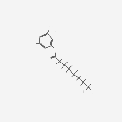 O=C(O)c1cc(OC(=O)C(F)(F)C(F)(F)C(F)(F)C(F)(F)C(F)(F)C(F)(F)C(F)(F)C(F)(F)F)cc(C(=O)O)c1